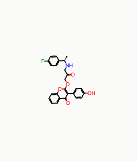 C[C@@H](NCC(=O)COc1oc2ccccc2c(=O)c1-c1ccc(O)cc1)c1ccc(F)cc1